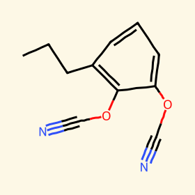 CCCc1cccc(OC#N)c1OC#N